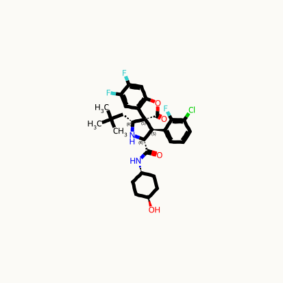 CC(C)(C)C[C@H]1N[C@@H](C(=O)N[C@H]2CC[C@H](O)CC2)[C@H](c2cccc(Cl)c2F)[C@@]12C(=O)Oc1cc(F)c(F)cc12